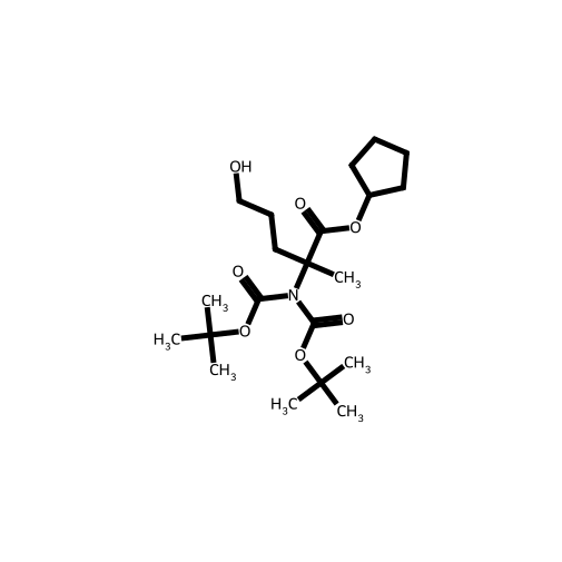 CC(C)(C)OC(=O)N(C(=O)OC(C)(C)C)C(C)(CCCO)C(=O)OC1CCCC1